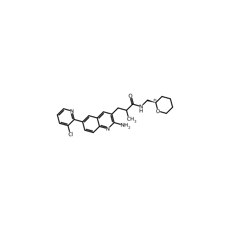 CC(Cc1cc2cc(-c3ncccc3Cl)ccc2nc1N)C(=O)NC[C@H]1CCCCO1